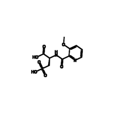 COc1cccnc1C(=O)N[C@@H](CS(=O)(=O)O)C(=O)O